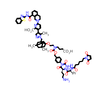 Cc1c(-c2ccc(N3CCc4cccc(C(=O)Nc5nc6ccccc6s5)c4C3)nc2C(=O)O)cnn1CC12CC3(C)CC(C)(C1)CC(OCCN(CCCC(=O)O)C(=O)OCc1ccc(N(C(N)=O)C(=O)[C@H](CCCN)NC(=O)[C@@H](NC(=O)CCCCCN4C(=O)C=CC4=O)C(C)C)cc1)(C3)C2